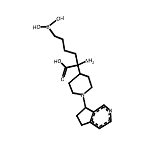 NC(CCCCB(O)O)(C(=O)O)C1CCN(C2CCc3ccncc32)CC1